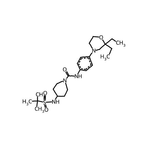 CCC1(CC)CN(c2ccc(NC(=O)N3CCC(NS(=O)(=O)C(C)(C)C)CC3)cc2)CCO1